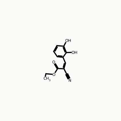 CCOC(=O)C(C#N)=Cc1cccc(O)c1O